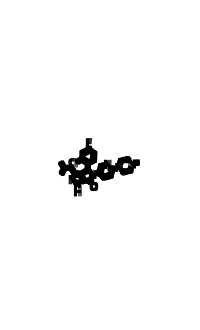 CC(C)Cc1n[nH]c2c1C(c1ccc(F)cc1Cl)N(c1ccc(N3CCN(C)CC3)nc1)C2=O